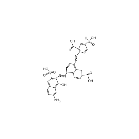 Nc1ccc2cc(S(=O)(=O)O)c(N=Nc3ccc(N=Nc4ccc(S(=O)(=O)O)cc4C(=O)O)c4cc(C(=O)O)ccc34)c(O)c2c1